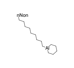 CCCCCCCCCCCCCCCCC[CH2][Al]1[CH2]CCC[CH2]1